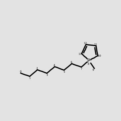 CCCCCCCC[P]1(C)C=CC=C1